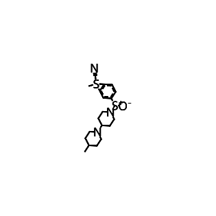 CC1CCN(C2CCN([S+]([O-])c3ccc4c(c3)S4(C)C#N)CC2)CC1